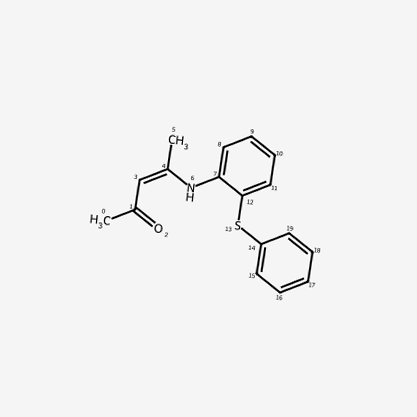 CC(=O)/C=C(/C)Nc1ccccc1Sc1ccccc1